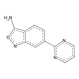 Nc1onc2cc(-c3ncccn3)ccc12